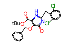 CC(C)(C)OC(=O)c1[nH]c(Cc2c(Cl)cccc2Cl)nc(=O)c1OCc1ccccc1